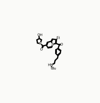 CCc1cc2cc(C(=O)N3CCC(O)C3)ccn2c1C(=O)c1ccc(CCCNC(C)(C)C)cc1